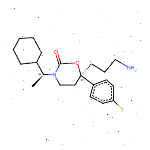 C[C@@H](C1CCCCC1)N1CC[C@](CCCN)(c2ccc(F)cc2)OC1=O